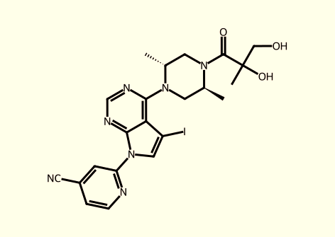 C[C@@H]1CN(C(=O)C(C)(O)CO)[C@@H](C)CN1c1ncnc2c1c(I)cn2-c1cc(C#N)ccn1